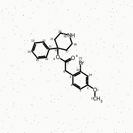 COc1ccc(CC(=O)OC2(c3ccccc3)CCNCC2)c(Br)c1